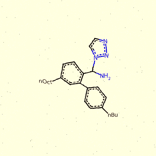 CCCCCCCCc1ccc(C(N)n2ccnn2)c(-c2ccc(CCCC)cc2)c1